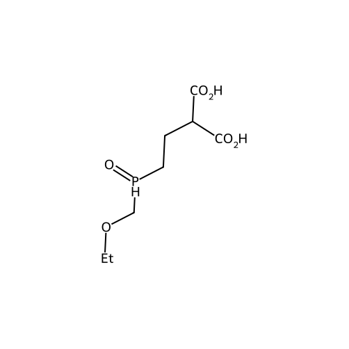 CCOC[PH](=O)CCC(C(=O)O)C(=O)O